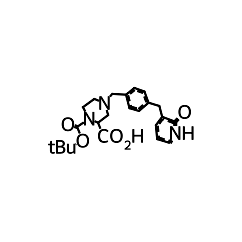 CC(C)(C)OC(=O)N1CCN(Cc2ccc(Cc3ccc[nH]c3=O)cc2)CC1C(=O)O